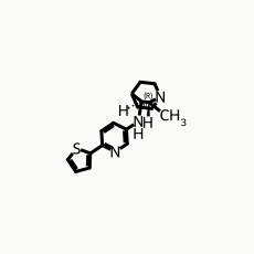 C[C@@H]1[C@@H](Nc2ccc(-c3cccs3)nc2)C2CCN1CC2